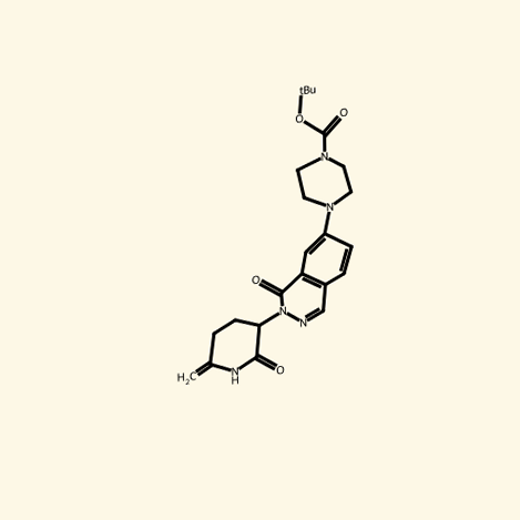 C=C1CCC(n2ncc3ccc(N4CCN(C(=O)OC(C)(C)C)CC4)cc3c2=O)C(=O)N1